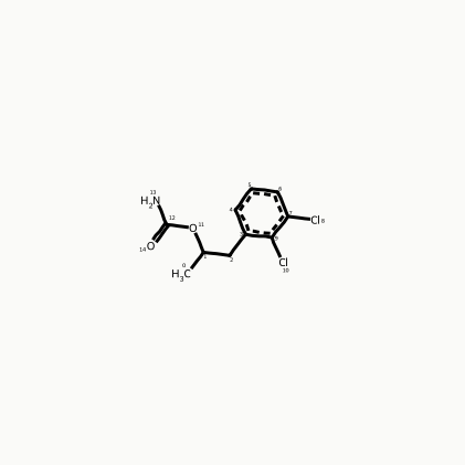 CC(Cc1cccc(Cl)c1Cl)OC(N)=O